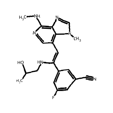 CNc1ncc(/C=C(\NCC(C)O)c2cc(F)cc(C#N)c2)c2c1ncn2C